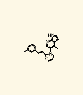 Cc1cccc(C=CC2CC=CCN2c2cnc3[nH]ccc3c2C)c1